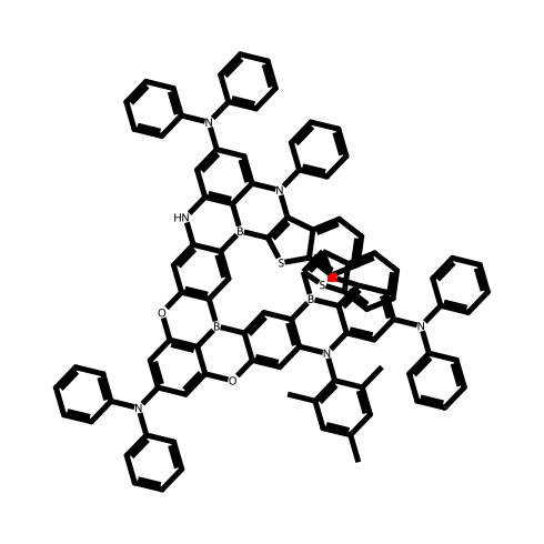 Cc1cc(C)c(N2c3cc4c(cc3B3c5sc6ccccc6c5Oc5cc(N(c6ccccc6)c6ccccc6)cc2c53)B2c3cc5c(cc3Oc3cc(N(c6ccccc6)c6ccccc6)cc(c32)O4)Nc2cc(N(c3ccccc3)c3ccccc3)cc3c2B5c2sc4ccccc4c2N3c2ccccc2)c(C)c1